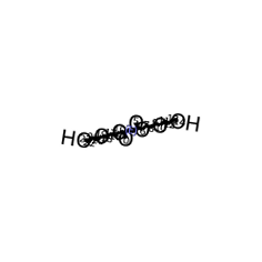 O=C(/C=C/C(=O)OCCCOCCCO)OCCCOCCCO